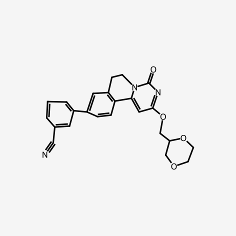 N#Cc1cccc(-c2ccc3c(c2)CCn2c-3cc(OCC3COCCO3)nc2=O)c1